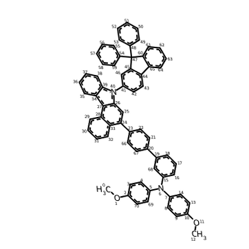 COc1ccc(N(c2ccc(OC)cc2)c2cccc(-c3ccc(-c4cc5c(c6ccccc46)c4ccccc4n5-c4ccc5c(c4)C(c4ccccc4)(c4ccccc4)c4ccccc4-5)cc3)c2)cc1